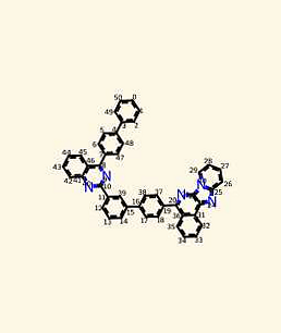 c1ccc(-c2ccc(-c3nc(-c4cccc(-c5ccc(-c6nc7c(nc8ccccn87)c7ccccc67)cc5)c4)nc4ccccc34)cc2)cc1